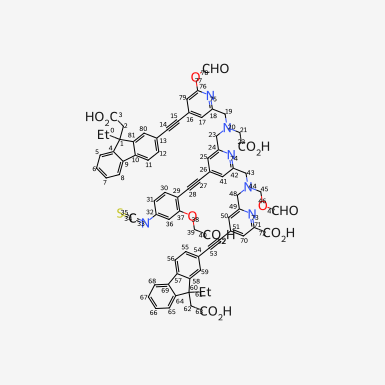 CCC1(CC(=O)O)c2ccccc2-c2ccc(C#Cc3cc(CN(CC(=O)O)Cc4cc(C#Cc5ccc(N=C=S)cc5OCC(=O)O)cc(CN(COC=O)Cc5cc(C#Cc6ccc7c(c6)C(CC)(CC(=O)O)c6ccccc6-7)cc(C(=O)O)n5)n4)nc(OC=O)c3)cc21